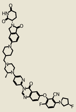 C[C@H]1CN(CC2CCN(c3ccc4c(c3)CN([C@H]3CCC(=O)NC3=O)C4=O)CC2)CCN1c1ccc(-n2cnc3ccc(Oc4c(F)ccc(N5CC[C@@H](F)C5)c4C#N)cc3c2=O)nc1